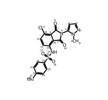 Cn1nccc1N1C(=O)c2c(Cl)ccc(NS(=O)(=O)c3ccc(C(C)(C)C)cc3)c2C1=O